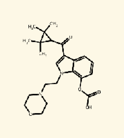 CC1(C)C(C(=O)c2cn(CCN3CCOCC3)c3c(OC(=O)O)cccc23)C1(C)C